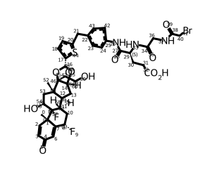 C[C@]12C=CC(=O)C=C1[C@@H](F)C[C@H]1[C@@H]3C[C@H]4O[C@@H](c5ccc(Cc6ccc(NC(=O)[C@H](CCC(=O)O)NC(=O)CNC(=O)CBr)cc6)s5)O[C@@]4(C(=O)CO)[C@@]3(C)C[C@H](O)[C@@]12F